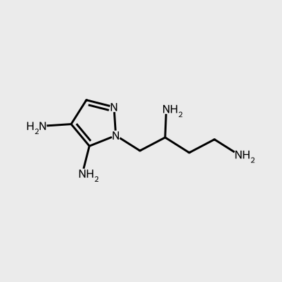 NCCC(N)Cn1ncc(N)c1N